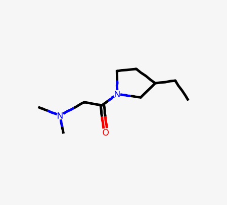 CCC1CCN(C(=O)CN(C)C)C1